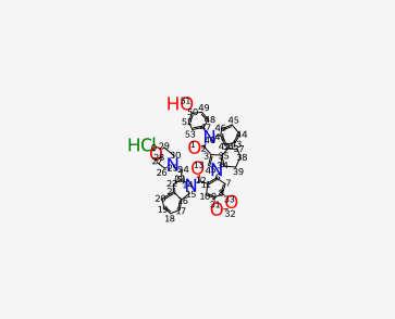 Cl.O=C(c1cn(-c2cc3c(cc2C(=O)N2Cc4ccccc4C[C@H]2CN2CCOCC2)OCO3)c2c1CCCC2)N(c1ccccc1)c1ccc(O)cc1